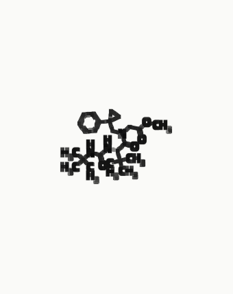 COC(=O)CN(CC1(c2ccccc2)CC1)C(=O)[C@@H](NC(=O)NC(C)(C)C)C(C)(C)C